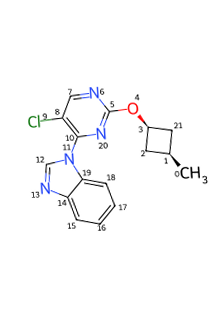 C[C@H]1C[C@@H](Oc2ncc(Cl)c(-n3cnc4ccccc43)n2)C1